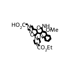 CCOC(=O)N1CCN(C(=O)C(Cc2cn(CC(=O)O)cn2)c2nc3ccccc3c(OC)c2C(N)=O)CC1